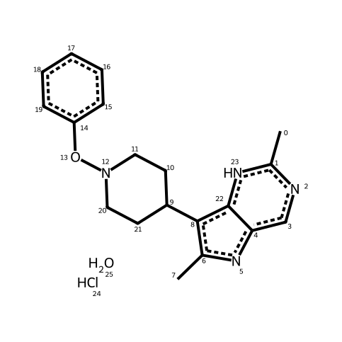 Cc1ncc2nc(C)c(C3CCN(Oc4ccccc4)CC3)c-2[nH]1.Cl.O